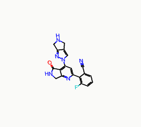 N#Cc1cccc(F)c1-c1cc(-n2cc3c(n2)CNC3)c2c(n1)CNC2=O